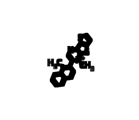 Cc1c(-c2cnc3c4sccc4sc3[n+]2C)ccc2ccccc12